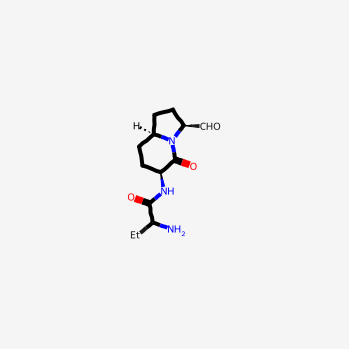 CCC(N)C(=O)N[C@H]1CC[C@H]2CC[C@@H](C=O)N2C1=O